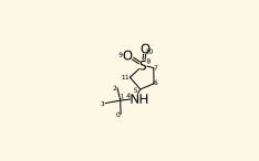 CC(C)(C)NC1CCS(=O)(=O)C1